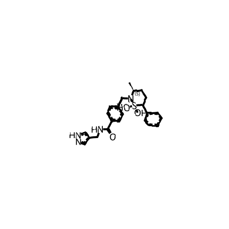 C[C@H]1CCC(c2ccccc2)S(O)(O)N1Cc1ccc(C(=O)NCc2cn[nH]c2)cc1